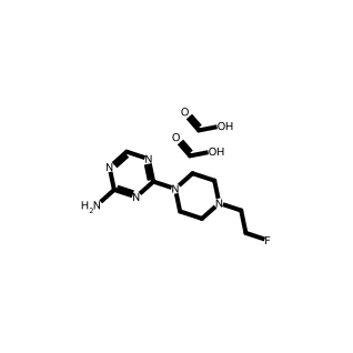 Nc1ncnc(N2CCN(CCF)CC2)n1.O=CO.O=CO